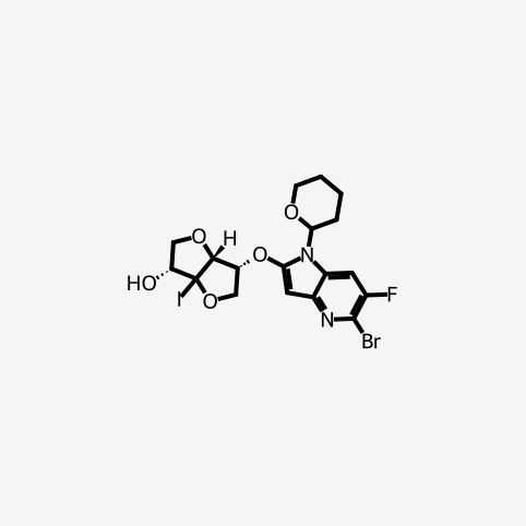 O[C@@H]1CO[C@@H]2[C@H](Oc3cc4nc(Br)c(F)cc4n3C3CCCCO3)COC12I